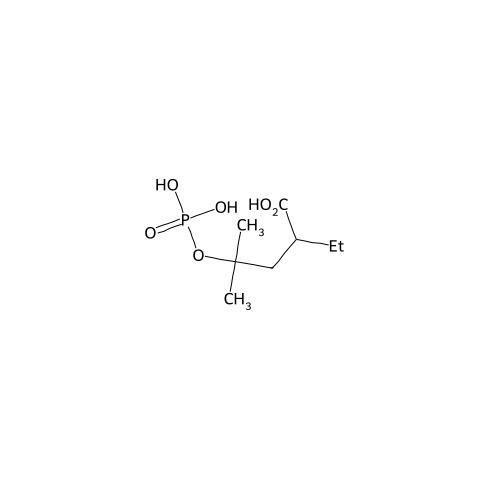 CCC(CC(C)(C)OP(=O)(O)O)C(=O)O